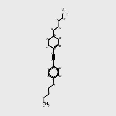 CCCCCc1ccc(C#CC2=CCC(CCCCC)CC2)cc1